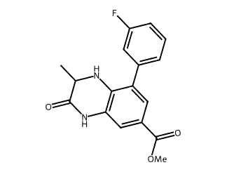 COC(=O)c1cc2c(c(-c3cccc(F)c3)c1)NC(C)C(=O)N2